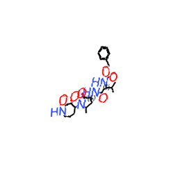 CC(C)[C@H](NC(=O)OCc1ccccc1)C(=O)N[C@H]1CC(C)N(C2CCCNC(=O)C2=O)C1=O